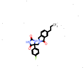 O=C1NC(=O)C(CN2Cc3ccc(CCC(F)(F)F)cc3C2=O)(c2ccc(F)cc2)N1